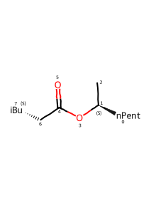 CCCCC[C@H](C)OC(=O)C[C@@H](C)CC